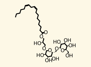 CCCCC/C=C\C/C=C\CCCCCCCC(=O)OC[C@@H](O)CO[C@@H]1O[C@H](CO[C@H]2O[C@H](CO)[C@H](O)[C@H](O)[C@H]2O)[C@H](O)[C@H](O)[C@H]1O